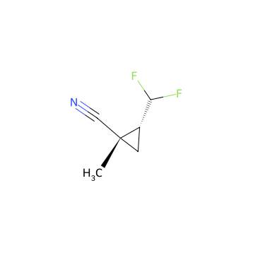 C[C@]1(C#N)C[C@H]1C(F)F